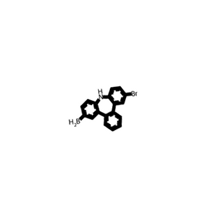 Bc1ccc2c(c1)-c1ccccc1-c1cc(Br)ccc1N2